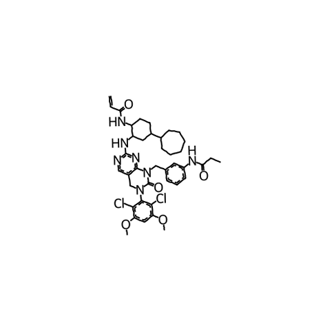 C=CC(=O)NC1CCC(C2CCCCCC2)CC1Nc1ncc2c(n1)N(Cc1cccc(NC(=O)CC)c1)C(=O)N(c1c(Cl)c(OC)cc(OC)c1Cl)C2